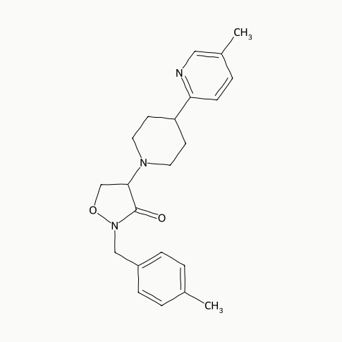 Cc1ccc(CN2OCC(N3CCC(c4ccc(C)cn4)CC3)C2=O)cc1